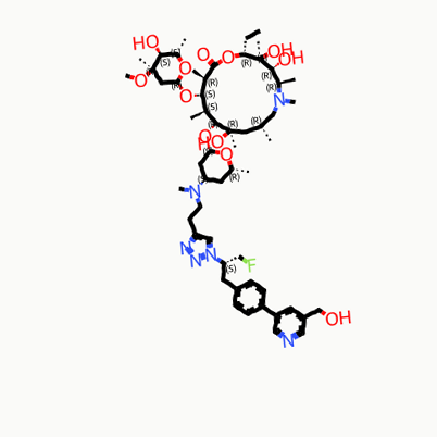 CC[C@H]1OC(=O)[C@H](C)[C@@H](O[C@H]2C[C@@](C)(OC)[C@@H](O)[C@H](C)O2)[C@H](C)[C@@H](O[C@H]2C[C@@H](N(C)CCc3cn([C@H](CF)Cc4ccc(-c5cncc(CO)c5)cc4)nn3)C[C@@H](C)O2)[C@](C)(O)C[C@@H](C)CN(C)[C@H](C)[C@@H](O)[C@]1(C)O